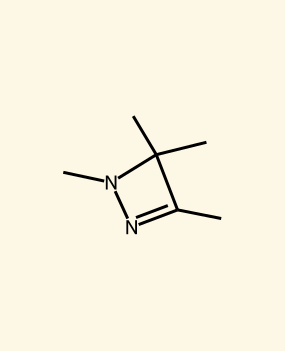 CC1=NN(C)C1(C)C